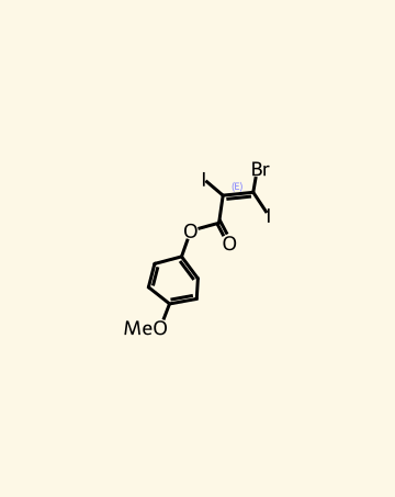 COc1ccc(OC(=O)/C(I)=C(/Br)I)cc1